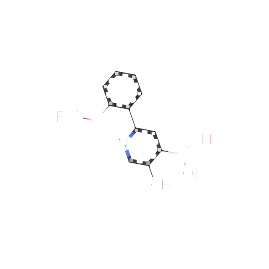 Cc1cnc(-c2ccccc2OC(F)(F)F)cc1B(O)O